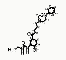 CCNC(=O)Nc1cc(C(=O)CCCCN2CCN(c3ccccc3)CC2)ccc1O